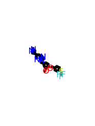 COc1cc(Cn2cnc3cc(-c4cnn(C)c4)cnc32)ccc1OCc1ccc(SC(F)(F)F)cc1